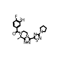 [2H]c1cc(C(=O)N2CCn3c(-c4nc(N5CCCC5)ns4)nnc3[C@H]2C)ccc1F